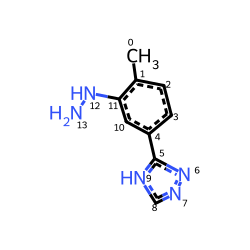 Cc1ccc(-c2nnc[nH]2)cc1NN